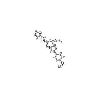 CCOc1ccc(-c2cn3nc(NCc4ccco4)cc(N)c3n2)cc1